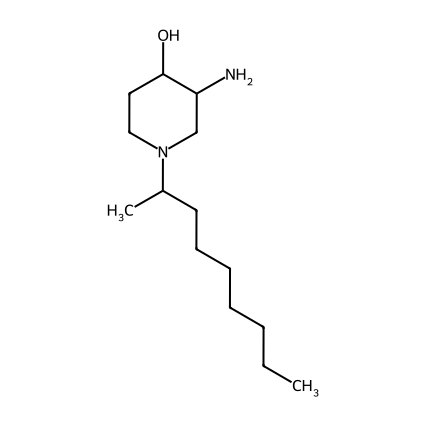 CCCCCCCC(C)N1CCC(O)C(N)C1